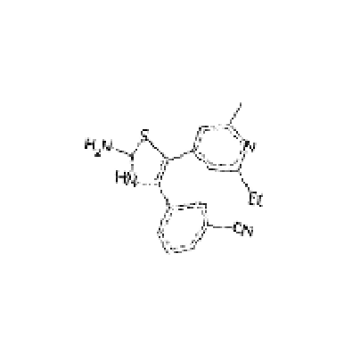 CCc1cc(C2=C(c3cccc(C#N)c3)NC(N)S2)cc(C)n1